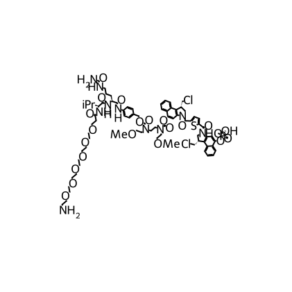 COCCN(CCN(CCOC)C(=O)Oc1cc2c(c3ccccc13)[C@H](CCl)CN2C(=O)c1ccc(C(=O)N2C[C@@H](CCl)c3c2cc(OP(=O)(O)O)c2ccccc32)s1)C(=O)OCc1ccc(NC(=O)[C@H](CCCNC(N)=O)NC(=O)[C@@H](NC(=O)CCOCCOCCOCCOCCOCCOCCN)C(C)C)cc1